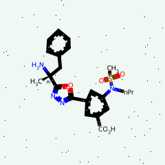 CCCN(c1cc(C(=O)O)cc(-c2nnc([C@](C)(N)Cc3ccccc3)o2)c1)S(C)(=O)=O